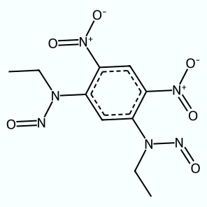 CCN(N=O)c1cc(N(CC)N=O)c([N+](=O)[O-])cc1[N+](=O)[O-]